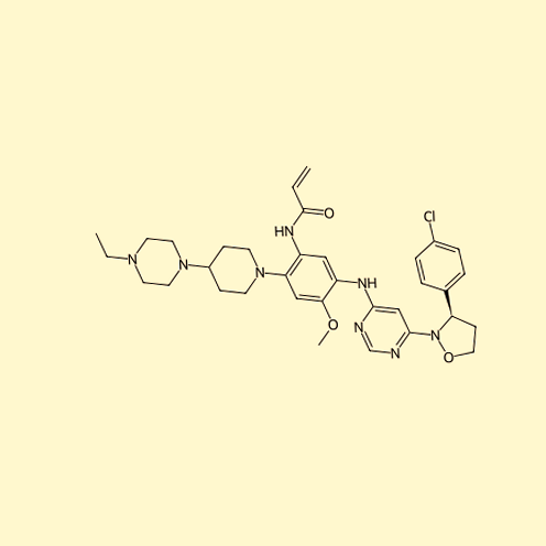 C=CC(=O)Nc1cc(Nc2cc(N3OCC[C@@H]3c3ccc(Cl)cc3)ncn2)c(OC)cc1N1CCC(N2CCN(CC)CC2)CC1